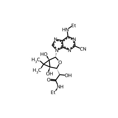 CCNC(=O)C(O)[C@H]1O[C@@H](n2cnc3c(NCC)nc(C#N)nc32)[C@@]2(O)C(C)(C)[C@@]12O